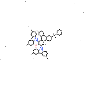 Cc1ccc2c3cc(C(C)(C)c4ccccc4)ccc3c3cc4c5c(c3c2c1)-n1c2ccc(C)cc2c2cc(C)cc(c21)B5c1cc(C)cc2c3cc(C)ccc3n-4c12